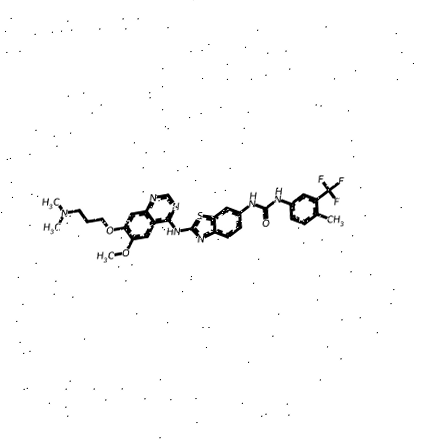 COc1cc2c(Nc3nc4ccc(NC(=O)Nc5ccc(C)c(C(F)(F)F)c5)cc4s3)ncnc2cc1OCCCN(C)C